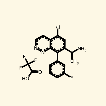 CC(N)c1cc(Cl)c2ccnnc2c1-c1cccc(F)c1.O=C(O)C(F)(F)F